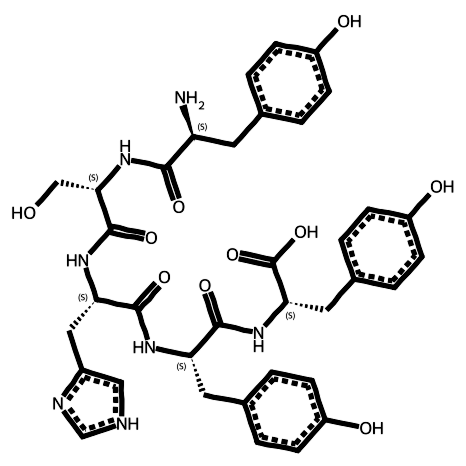 N[C@@H](Cc1ccc(O)cc1)C(=O)N[C@@H](CO)C(=O)N[C@@H](Cc1c[nH]cn1)C(=O)N[C@@H](Cc1ccc(O)cc1)C(=O)N[C@@H](Cc1ccc(O)cc1)C(=O)O